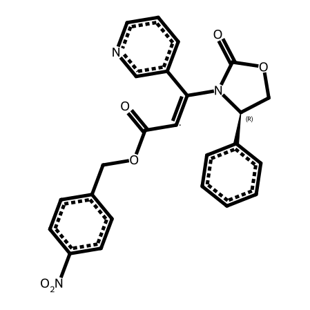 O=C([C]=C(c1cccnc1)N1C(=O)OC[C@H]1c1ccccc1)OCc1ccc([N+](=O)[O-])cc1